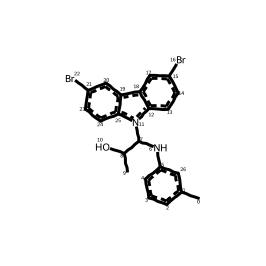 Cc1cccc(NC(C(C)O)n2c3ccc(Br)cc3c3cc(Br)ccc32)c1